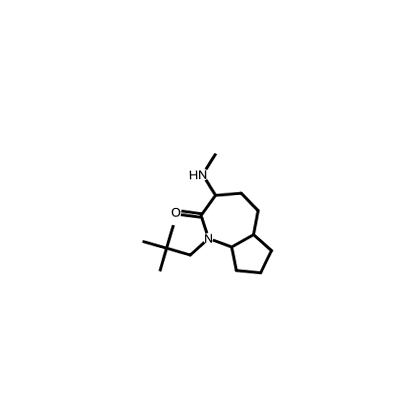 CNC1CCC2CCCC2N(CC(C)(C)C)C1=O